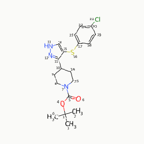 CC(C)(C)OC(=O)N1CCC(c2n[nH]cc2Sc2ccc(Cl)cc2)CC1